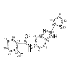 O=C(Nc1ccc2[nH]c(-c3cccs3)nc2c1)c1ccccc1F